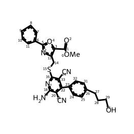 COC(=O)c1oc(-c2ccccc2)nc1CSc1nc(N)c(C#N)c(-c2ccc(CCCO)cc2)c1C#N